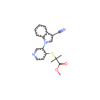 COC(=O)C(C)(C)Sc1ccncc1-n1cc(C#N)c2ccccc21